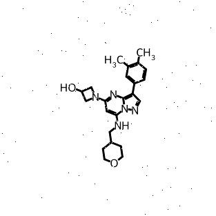 Cc1ccc(-c2cnn3c(NCC4CCOCC4)cc(N4CC(O)C4)nc23)cc1C